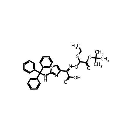 CCSC(O/N=C(\C(=O)O)c1csc(NC(c2ccccc2)(c2ccccc2)c2ccccc2)n1)C(=O)OC(C)(C)C